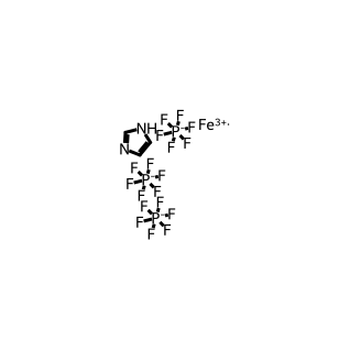 F[P-](F)(F)(F)(F)F.F[P-](F)(F)(F)(F)F.F[P-](F)(F)(F)(F)F.[Fe+3].c1c[nH]cn1